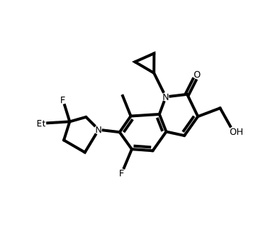 CCC1(F)CCN(c2c(F)cc3cc(CO)c(=O)n(C4CC4)c3c2C)C1